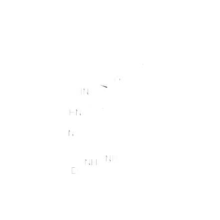 CCNc1cnc(NC(=O)N[C@H](COCC2CC2)c2ccccc2)cc1C=N